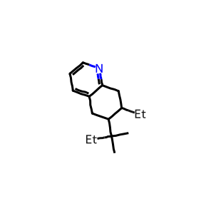 CCC1Cc2ncccc2CC1C(C)(C)CC